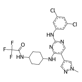 Cn1cc(-c2cnc(Nc3cc(Cl)cc(Cl)c3)nc2NC2CCC(NC(=O)C(F)(F)F)CC2)cn1